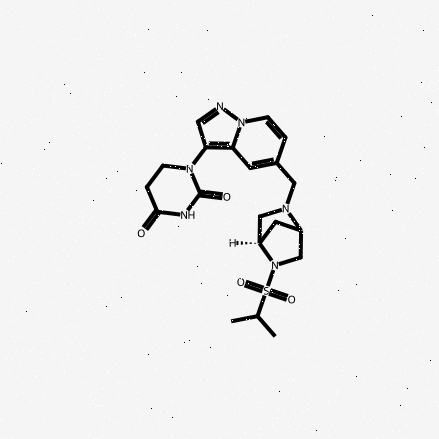 CC(C)S(=O)(=O)N1CC2C[C@@H]1CN2Cc1ccn2ncc(N3CCC(=O)NC3=O)c2c1